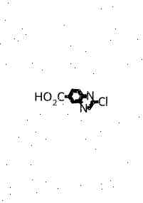 O=C(O)c1ccc2nc(Cl)cnc2c1